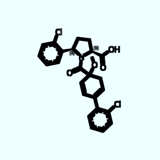 COC1(C(=O)N2[C@@H](c3ccccc3Cl)CC[C@H]2C(=O)O)C=CC(c2ccccc2Cl)=CC1